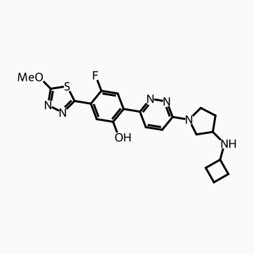 COc1nnc(-c2cc(O)c(-c3ccc(N4CCC(NC5CCC5)C4)nn3)cc2F)s1